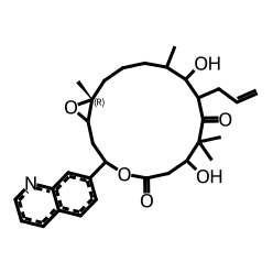 C=CCC1C(=O)C(C)(C)C(O)CC(=O)OC(c2ccc3cccnc3c2)CC2O[C@]2(C)CCCC(C)C1O